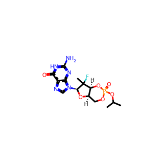 CC(C)OP1(=O)OC[C@H]2O[C@@H](n3cnc4c(=O)[nH]c(N)nc43)C(C)(F)[C@H]2O1